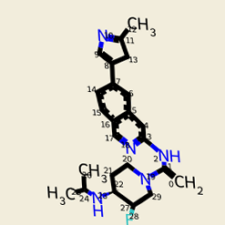 C=C(Nc1cc2cc(C3=CN=C(C)C3)ccc2cn1)N1CC[C@H](NC(C)C)C(F)C1